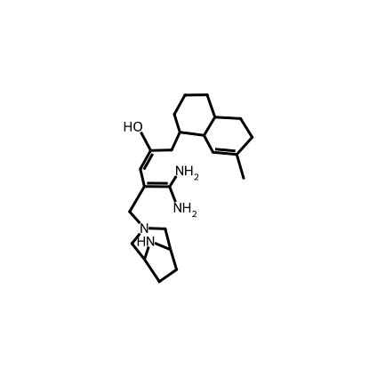 CC1=CC2C(CCCC2C/C(O)=C\C(CN2CC3CCC(C2)N3)=C(N)N)CC1